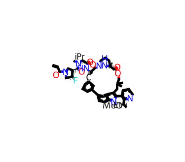 C=CC(=O)N1C[C@@H](F)[C@H](C(=O)N(C)[C@H](C(=O)N[C@H]2Cc3cccc(c3)-c3ccc4c(c3)c(c(-c3cccnc3[C@H](C)OC)n4CC)CC(C)(C)COC(=O)[C@@]3(C)CCCN(N3)C2=O)C(C)C)C1